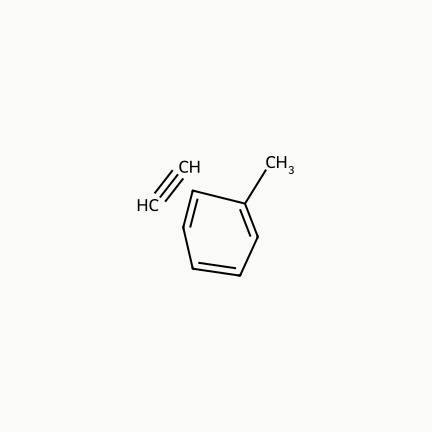 C#C.Cc1ccccc1